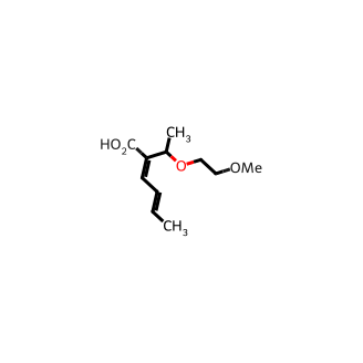 C/C=C/C=C(/C(=O)O)C(C)OCCOC